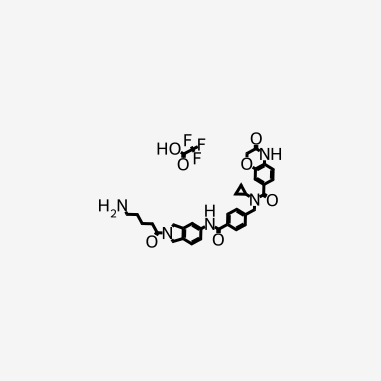 NCCCCC(=O)N1Cc2ccc(NC(=O)c3ccc(CN(C(=O)c4ccc5c(c4)OCC(=O)N5)C4CC4)cc3)cc2C1.O=C(O)C(F)(F)F